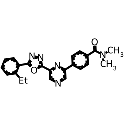 CCc1ccccc1-c1nnc(-c2cncc(-c3ccc(C(=O)N(C)C)cc3)n2)o1